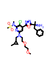 COCCOCCN(CC1CC1C)c1cc(-c2nnc(C(C)(N)Cc3ccccc3)o2)c(Cl)c(N(C)S(C)(=O)=O)n1